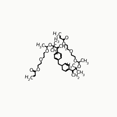 C=CC(=O)OCCOCCOC(C)OC(C)(C)C(=C)C1=CCC(Cc2ccc(C(=C)C(C)(C)OC(C)OCCOCCOC(=O)C=C)cc2)C=C1